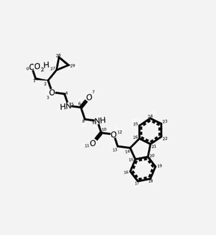 O=C(O)C[C@H](OCNC(=O)CNC(=O)OCC1c2ccccc2-c2ccccc21)C1CC1